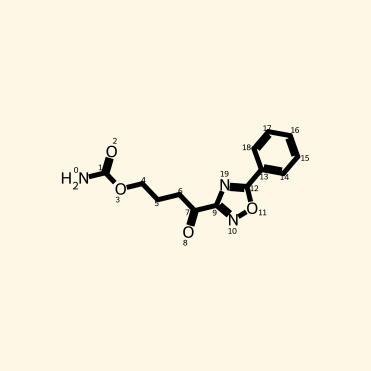 NC(=O)OCCCC(=O)c1noc(-c2ccccc2)n1